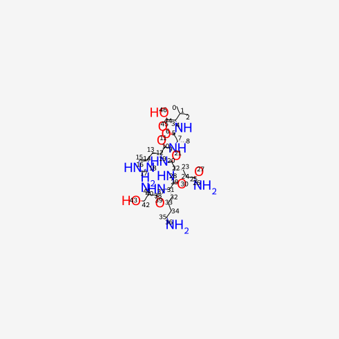 CC(C)[C@H](NC(=O)[C@H](C)NC(=O)[C@H](Cc1c[nH]cn1)NC(=O)[C@H](CCC(N)=O)NC(=O)[C@H](CCCCN)NC(=O)[C@@H](N)CO)C(=O)O